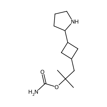 CC(C)(CC1CC(C2CCCN2)C1)OC(N)=O